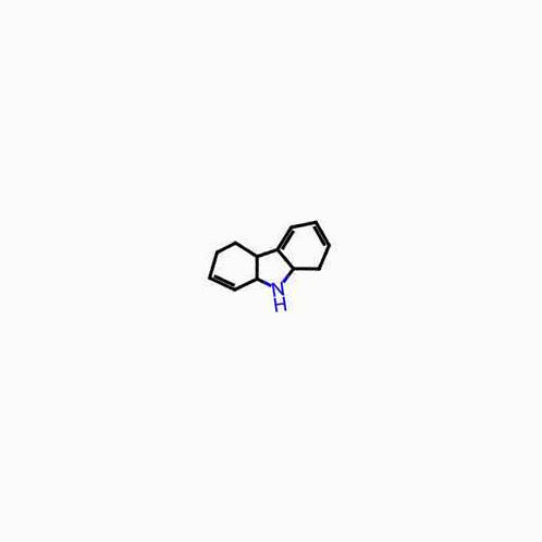 C1=CCC2NC3C=CCCC3C2=C1